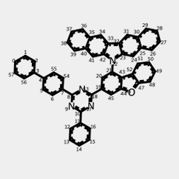 c1ccc(-c2ccc(-c3nc(-c4ccccc4)nc(-c4cc(-n5c6cc7ccccc7cc6c6cc7ccccc7cc65)c5c(c4)oc4ccccc45)n3)cc2)cc1